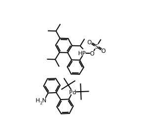 CC(C)c1cc(C(C)C)c(-c2ccccc2POS(C)(=O)=O)c(C(C)C)c1.C[C](C)(C)[Pd]([c]1ccccc1-c1ccccc1N)[C](C)(C)C